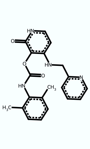 Cc1cccc(C)c1NC(=O)Oc1c(NCc2ccccn2)cc[nH]c1=O